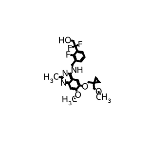 COCC1(COc2cc3c(NCc4cccc(C(F)(F)CO)c4F)nc(C)nc3cc2OC)CC1